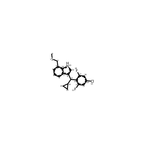 CSCc1cccc2c(C(c3c(F)cc(Cl)cc3F)C3CC3)c[nH]c12